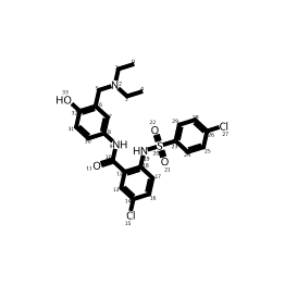 CCN(CC)Cc1cc(NC(=O)c2cc(Cl)ccc2NS(=O)(=O)c2ccc(Cl)cc2)ccc1O